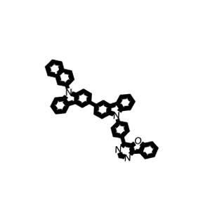 c1ccc2cc(-n3c4ccccc4c4cc(-c5ccc6c(c5)c5ccccc5n6-c5ccc(-c6ncnc7c6oc6ccccc67)cc5)ccc43)ccc2c1